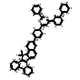 CC1(C)c2c(ccc3cc(-c4ccc(-c5cc(-c6cccc(-c7ccccc7)c6)nc(-c6ccccc6)n5)cc4)ccc23)-c2c1c1ccccc1c1ccccc21